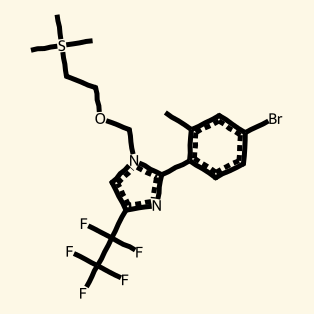 Cc1cc(Br)ccc1-c1nc(C(F)(F)C(F)(F)F)cn1COCCS(C)(C)C